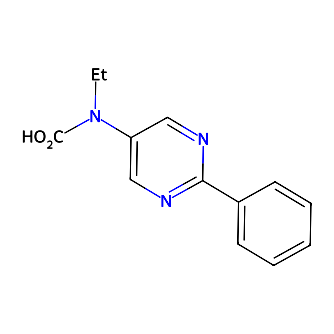 CCN(C(=O)O)c1cnc(-c2ccccc2)nc1